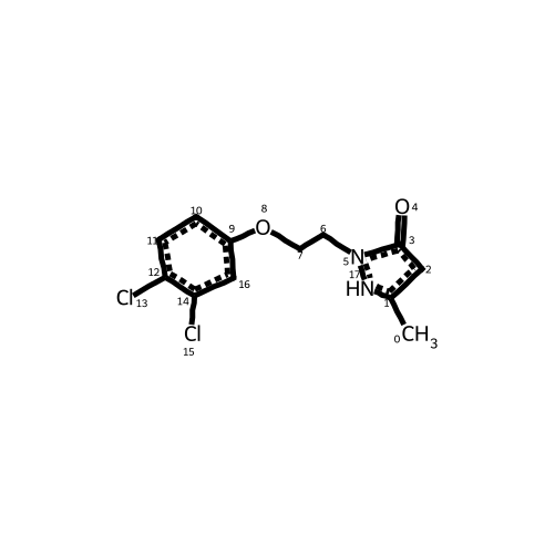 Cc1cc(=O)n(CCOc2ccc(Cl)c(Cl)c2)[nH]1